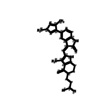 CCN(CC)CCN1CCc2[nH]c(C=C3C(=O)Nc4cnc(-c5cn(C)nc5C)cc43)c(C)c2C1=O